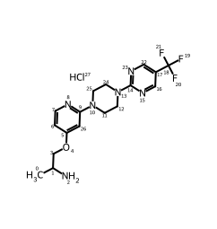 CC(N)COc1ccnc(N2CCN(c3ncc(C(F)(F)F)cn3)CC2)c1.Cl